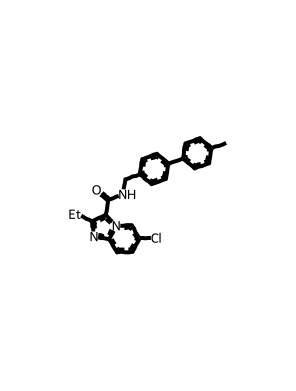 CCc1nc2ccc(Cl)cn2c1C(=O)NCc1ccc(-c2ccc(C)cc2)cc1